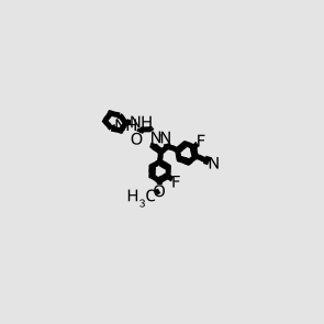 COc1ccc(-c2cn(CC(=O)NC3CC4CCC3N4)nc2-c2ccc(C#N)c(F)c2)cc1F